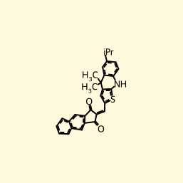 CC(C)c1ccc2c(c1)C(C)(C)c1cc(C=C3C(=O)c4cc5ccccc5cc4C3=O)sc1N2